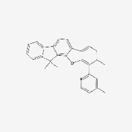 Cc1ccnc(-c2c(C)ccc3c2oc2c4c(ccc23)-c2ccccc2C4(C)C)c1